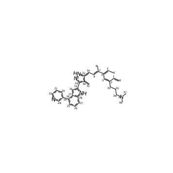 C=C\C(=C/C(=C\C)C(/C)=C/C=c1/[nH]nc(-c2cc3c(-c4cccnc4)cccc3[nH]2)c1=C)CCCN(C)C